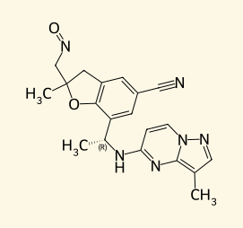 Cc1cnn2ccc(N[C@H](C)c3cc(C#N)cc4c3OC(C)(CN=O)C4)nc12